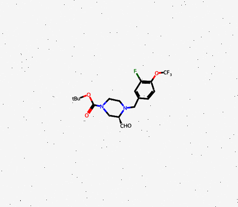 CC(C)(C)OC(=O)N1CCN(Cc2ccc(OC(F)(F)F)c(F)c2)[C@@H](C=O)C1